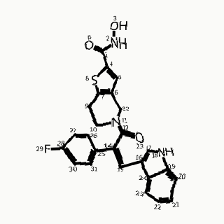 O=C(NO)c1cc2c(s1)CCN(C(=O)/C(=C\c1c[nH]c3ccccc13)c1ccc(F)cc1)C2